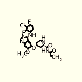 C=CC(=O)NC(=O)[C@H]1C[C@H](Oc2cc3c(Nc4ccc(F)c(Cl)c4F)ncnc3cc2OC)CCN1